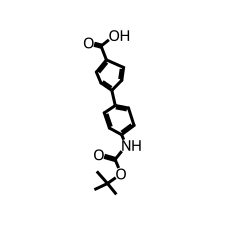 CC(C)(C)OC(=O)Nc1ccc(-c2ccc(C(=O)O)cc2)cc1